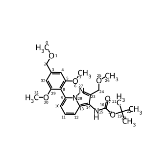 COCc1cc(OC)c(-c2cccc3c(NC(=O)OC(C)(C)C)c(COC)nn23)c(OC)c1